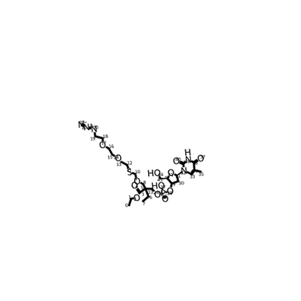 CCOC(=O)C(CC)(COCSCCOCCOCCN=[N+]=[N-])COP(=O)(O)OC1C[C@H](n2cc(C)c(=O)[nH]c2=O)O[C@@H]1CO